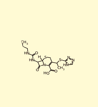 CCCNC(=O)NC1C(=O)N2C(C(=O)O)=C(C(C)Sc3nnc[nH]3)CS[C@@H]12